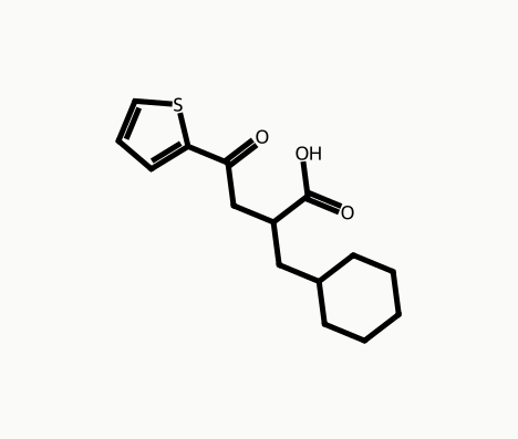 O=C(CC(CC1CCCCC1)C(=O)O)c1cccs1